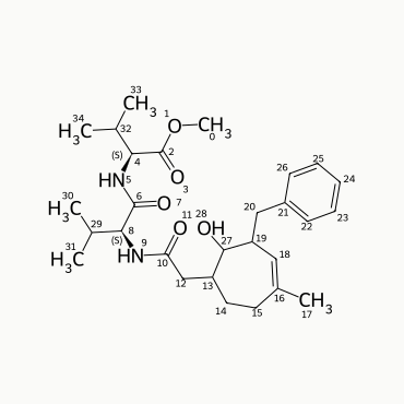 COC(=O)[C@@H](NC(=O)[C@@H](NC(=O)CC1CCC(C)=CC(Cc2ccccc2)C1O)C(C)C)C(C)C